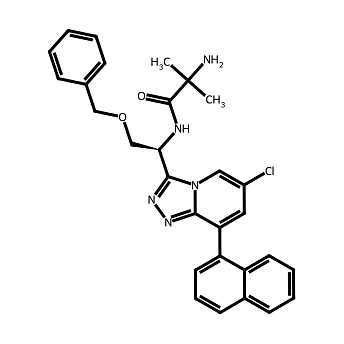 CC(C)(N)C(=O)N[C@H](COCc1ccccc1)c1nnc2c(-c3cccc4ccccc34)cc(Cl)cn12